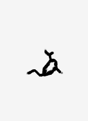 [CH2]c1cc(CCC)cc(C(C)C)c1